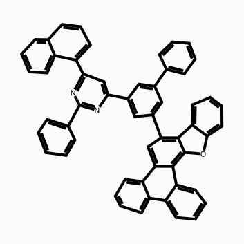 c1ccc(-c2cc(-c3cc(-c4cccc5ccccc45)nc(-c4ccccc4)n3)cc(-c3cc4c5ccccc5c5ccccc5c4c4oc5ccccc5c34)c2)cc1